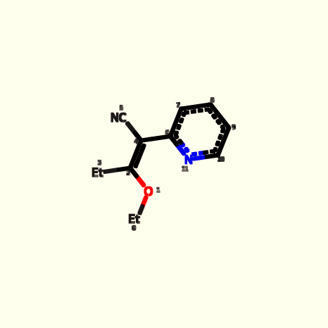 CCOC(CC)=C(C#N)c1ccccn1